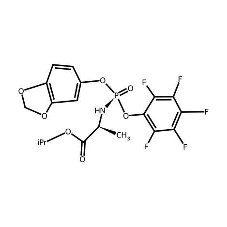 CC(C)OC(=O)[C@H](C)N[P@](=O)(Oc1ccc2c(c1)OCO2)Oc1c(F)c(F)c(F)c(F)c1F